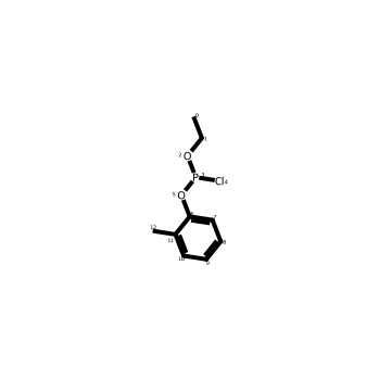 CCOP(Cl)Oc1ccccc1C